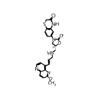 COc1ccc2nccc(/C=C/CNC[C@@H]3CN(c4ccc5c(c4)NC(=O)CS5)C(=O)O3)c2n1